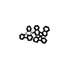 c1ccc(N(c2cc3c(c4ccccc24)-c2c(ccc4ccccc24)C32c3ccccc3-c3ccccc32)c2cccc3c2sc2ccccc23)cc1